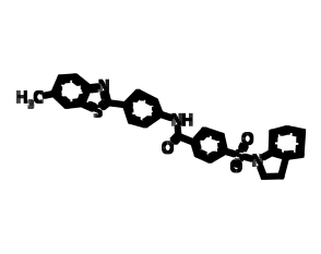 Cc1ccc2nc(-c3ccc(NC(=O)c4ccc(S(=O)(=O)N5CCc6ccccc65)cc4)cc3)sc2c1